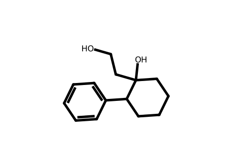 OCCC1(O)CCCCC1c1ccccc1